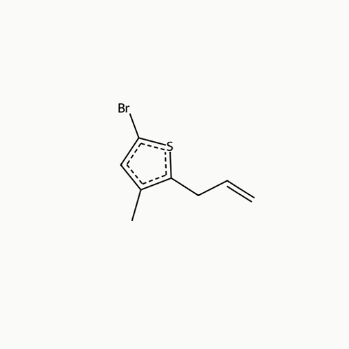 C=CCc1sc(Br)cc1C